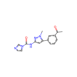 CC(=O)c1cccc(-c2cc(NC(=O)n3ccnc3)nn2C)c1